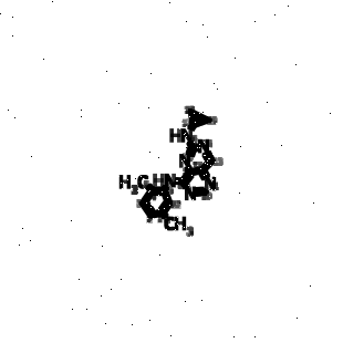 Cc1ccc(C)c(Nc2ncnc3cnc(NC4CC4)nc23)c1